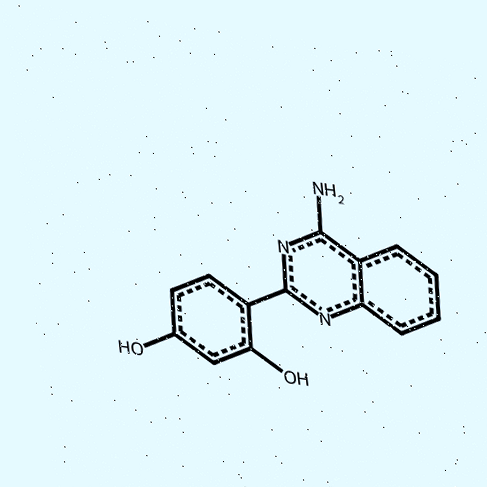 Nc1nc(-c2ccc(O)cc2O)nc2ccccc12